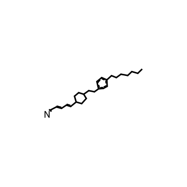 CCCCCCCc1ccc(CCC2CCC(C=CC=CC#N)CC2)cc1